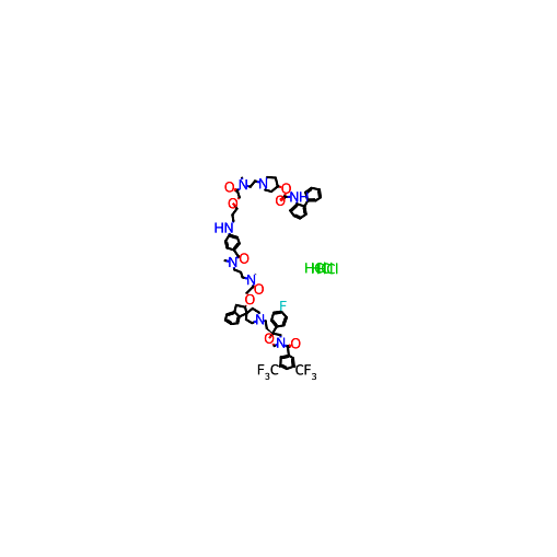 CN(CCN1CCC(OC(=O)Nc2ccccc2-c2ccccc2)CC1)C(=O)COCCCNc1ccc(C(=O)N(C)CCCN(C)C(=O)CO[C@H]2Cc3ccccc3C23CCN(CC[C@@]2(c4ccc(F)cc4)CN(C(=O)c4cc(C(F)(F)F)cc(C(F)(F)F)c4)CO2)CC3)cc1.Cl.Cl.Cl